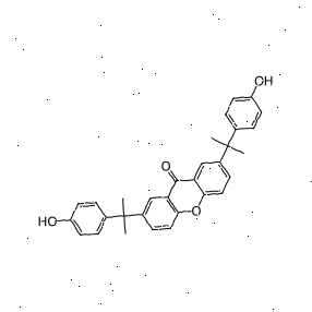 CC(C)(c1ccc(O)cc1)c1ccc2oc3ccc(C(C)(C)c4ccc(O)cc4)cc3c(=O)c2c1